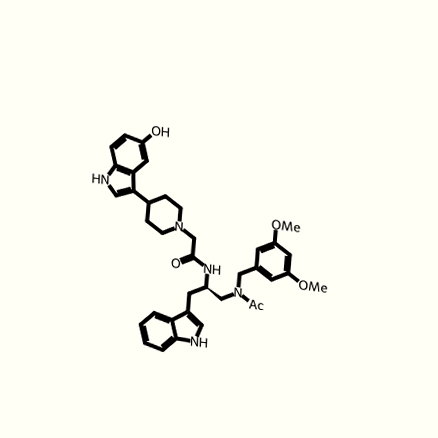 COc1cc(CN(C[C@@H](Cc2c[nH]c3ccccc23)NC(=O)CN2CCC(c3c[nH]c4ccc(O)cc34)CC2)C(C)=O)cc(OC)c1